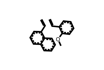 C=Cc1cccc2ccccc12.C=Cc1ccccc1OC